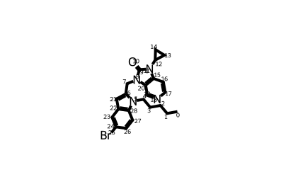 CCCCCn1c(Cn2c(=O)n(C3CC3)c3ccncc32)cc2cc(Br)ccc21